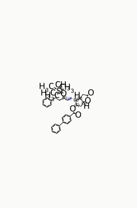 CC(C)(C)[Si](C)(C)O[C@@H](/C=C/[C@@H]1[C@H]2CC(=O)O[C@H]2C[C@@H]1OC(=O)c1ccc(-c2ccccc2)cc1)CCc1ccccc1